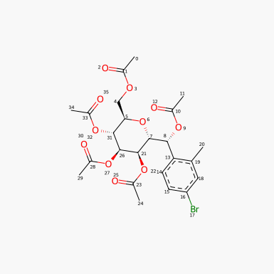 CC(=O)OC[C@H]1O[C@H]([C@H](OC(C)=O)c2ccc(Br)cc2C)[C@@H](OC(C)=O)[C@@H](OC(C)=O)[C@@H]1OC(C)=O